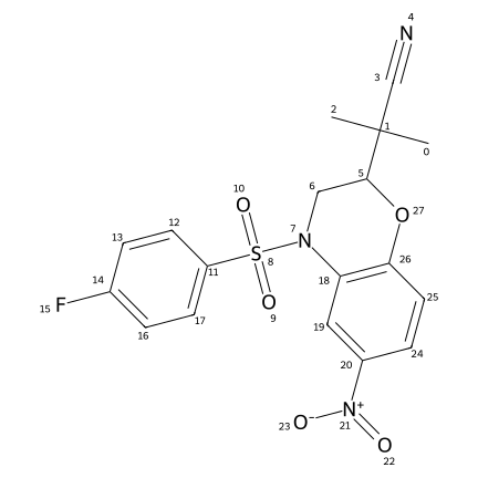 CC(C)(C#N)C1CN(S(=O)(=O)c2ccc(F)cc2)c2cc([N+](=O)[O-])ccc2O1